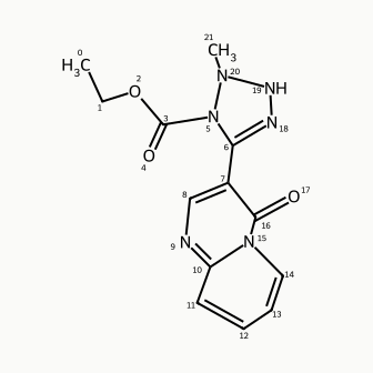 CCOC(=O)N1C(c2cnc3ccccn3c2=O)=NNN1C